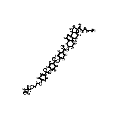 CCC1(COCCOc2ccc(C(=O)Oc3ccc(C(=O)Oc4ccc(C(=O)OC5CCC6(C)C(=CCC7C6CCC6(C)C(C(C)CCCC(C)C)CCC76)C5)cc4)cc3)cc2)COC1